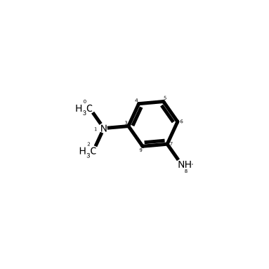 CN(C)c1cccc([NH])c1